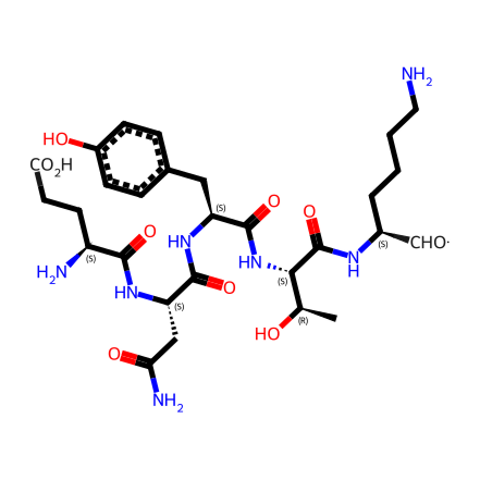 C[C@@H](O)[C@H](NC(=O)[C@H](Cc1ccc(O)cc1)NC(=O)[C@H](CC(N)=O)NC(=O)[C@@H](N)CCC(=O)O)C(=O)N[C@H]([C]=O)CCCCN